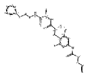 C=CCOC(=O)Oc1cc(C)c(C[C@@H](N)C(=O)N[C@H](C)C(=O)NCCCc2ccccc2)c(C)c1